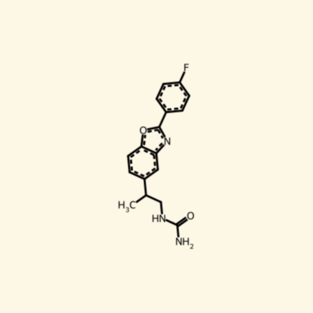 CC(CNC(N)=O)c1ccc2oc(-c3ccc(F)cc3)nc2c1